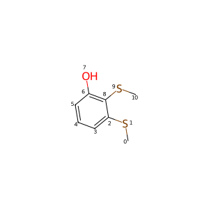 CSc1cccc(O)c1SC